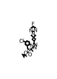 CC1c2nnc(C3CC4(C3)CN(c3ncc(F)cn3)C4)n2-c2ccc(Cl)cc2CN1C(=O)OC1(C)CC1